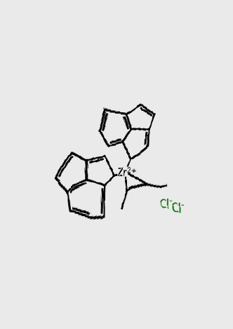 C[CH]1[CH](C)[Zr+2]1([CH]1C=C2C=Cc3cccc1c32)[CH]1C=C2C=Cc3cccc1c32.[Cl-].[Cl-]